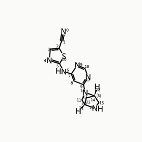 N#Cc1cnc(Nc2cc(N3C[C@@H]4C[C@H]3CN4)ncn2)s1